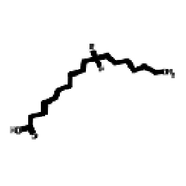 CCCCCCCC(F)(F)CCCCCCC=CCC(=O)O